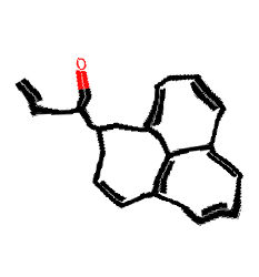 C=CC(=O)C1C=Cc2cccc3cccc1c23